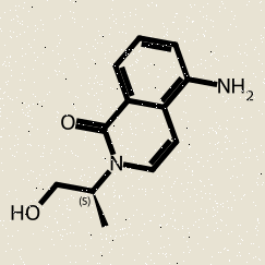 C[C@@H](CO)n1ccc2c(N)cccc2c1=O